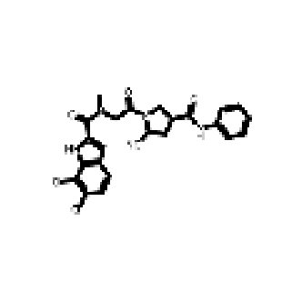 CN(CC(=O)N1CC(C(=O)Nc2ccccc2)CC1C#N)C(=O)c1cc2ccc(Cl)c(Cl)c2[nH]1